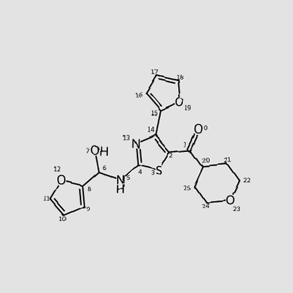 O=C(c1sc(NC(O)c2ccco2)nc1-c1ccco1)C1CCOCC1